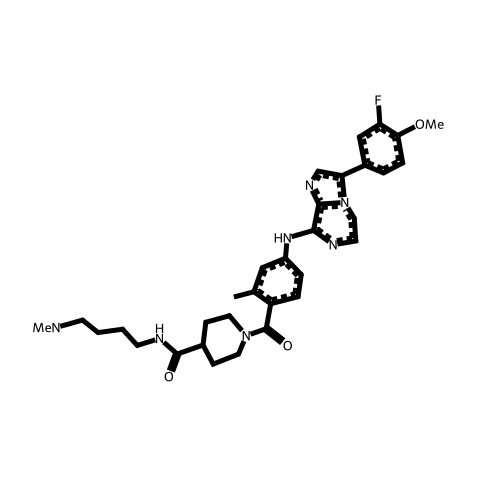 CNCCCCNC(=O)C1CCN(C(=O)c2ccc(Nc3nccn4c(-c5ccc(OC)c(F)c5)cnc34)cc2C)CC1